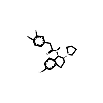 CN(C(=O)Cc1ccc(Cl)c(Cl)c1)[C@@H]1c2ccc(O)cc2CC[C@H]1N1CCCC1